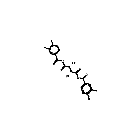 Cc1ccc(C(=O)OC(=O)[C@H](O)[C@@H](O)C(=O)OC(=O)c2ccc(C)c(C)c2)cc1C